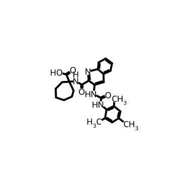 Cc1cc(C)c(NC(=O)Nc2cc3ccccc3nc2C(=O)NC2(C(=O)O)CCCCCC2)c(C)c1